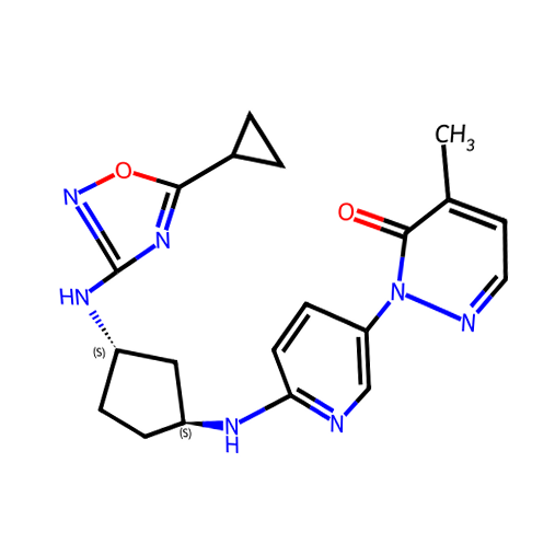 Cc1ccnn(-c2ccc(N[C@H]3CC[C@H](Nc4noc(C5CC5)n4)C3)nc2)c1=O